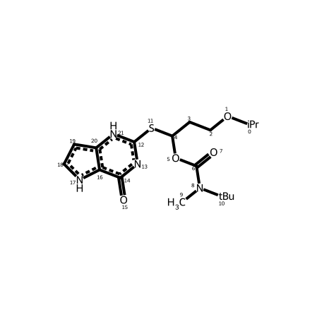 CC(C)OCCC(OC(=O)N(C)C(C)(C)C)Sc1nc(=O)c2[nH]ccc2[nH]1